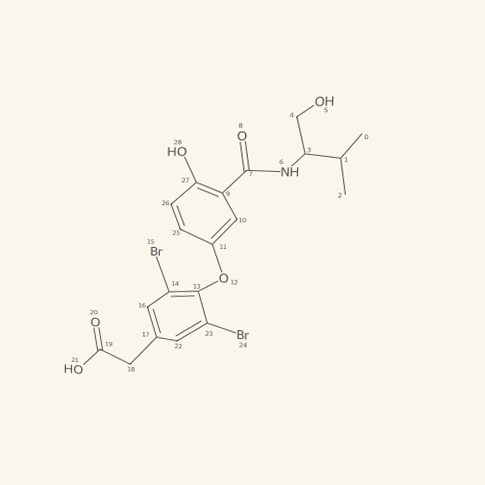 CC(C)C(CO)NC(=O)c1cc(Oc2c(Br)cc(CC(=O)O)cc2Br)ccc1O